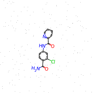 NC(=O)c1ccc(NC(=O)c2ccccn2)cc1Cl